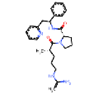 C=C(N)NCCC[C@H](C)C(=O)N1CCC[C@H]1C(=O)N[C@@H](Cc1ccccn1)c1ccccc1